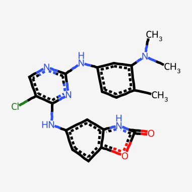 Cc1ccc(Nc2ncc(Cl)c(Nc3ccc4oc(=O)[nH]c4c3)n2)cc1N(C)C